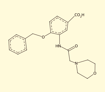 O=C(CN1CCOCC1)Nc1cc(C(=O)O)ccc1OCc1ccccc1